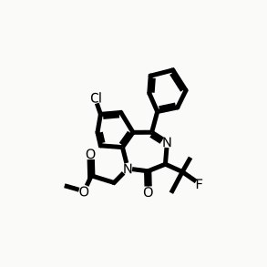 COC(=O)CN1C(=O)C(C(C)(C)F)N=C(c2ccccc2)c2cc(Cl)ccc21